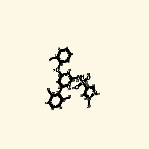 Cc1ccccc1Oc1cc(-c2c(C)cccc2C)nc(NS(=O)(=O)c2cnn(C)c2)n1